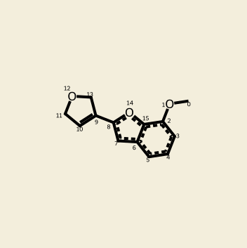 COc1cccc2cc(C3=CCOC3)oc12